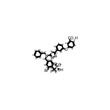 O=C(O)c1cccc(Oc2cccc(-c3nnc(N(Cc4ccccc4)Cc4ccc(C(F)(F)P(=O)(O)O)c(Br)c4)s3)c2)c1